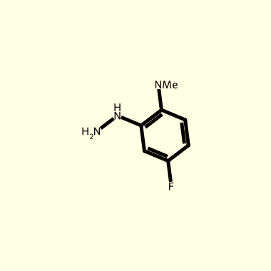 CNc1ccc(F)cc1NN